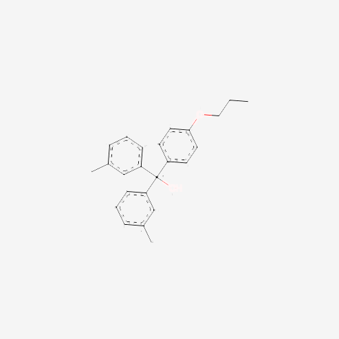 [CH2]CCOc1ccc(C(O)(c2cccc(C)c2)c2cccc(C)c2)cc1